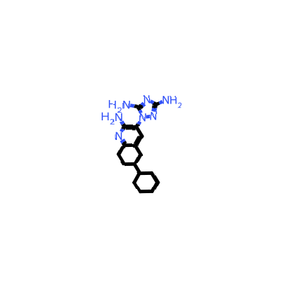 Nc1nc(N)n(-c2cc3c(nc2N)CCC(C2CCCCC2)C3)n1